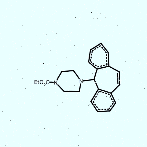 CCOC(=O)N1CCN(C2c3ccccc3C=Cc3ccccc32)CC1